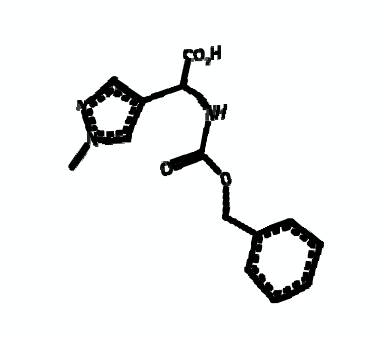 Cn1cc(C(NC(=O)OCc2ccccc2)C(=O)O)cn1